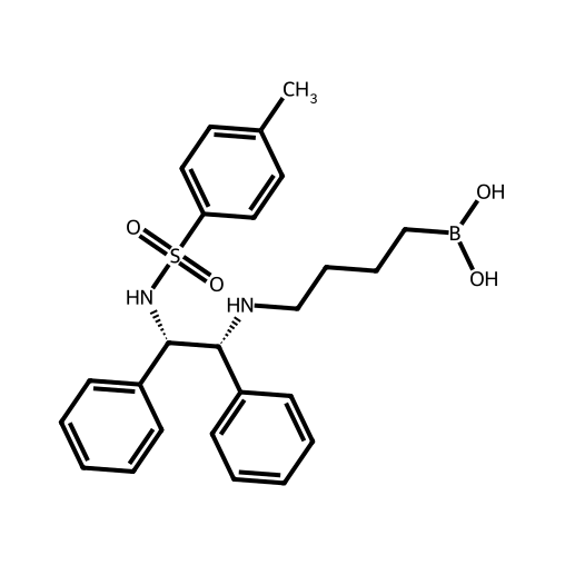 Cc1ccc(S(=O)(=O)N[C@@H](c2ccccc2)[C@H](NCCCCB(O)O)c2ccccc2)cc1